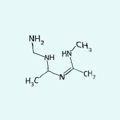 CN/C(C)=N\C(C)NCN